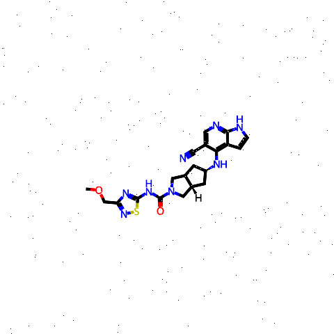 COCc1nsc(NC(=O)N2CC3C[C@@H](Nc4c(C#N)cnc5[nH]ccc45)C[C@@H]3C2)n1